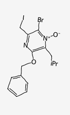 CC(C)Cc1c(OCc2ccccc2)nc(CI)c(Br)[n+]1[O-]